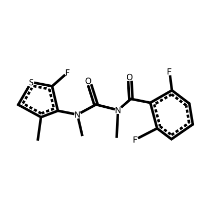 Cc1csc(F)c1N(C)C(=O)N(C)C(=O)c1c(F)cccc1F